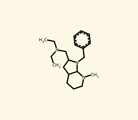 CCN(CC)CC1CC2CCCN(C)C2N1Cc1ccccc1